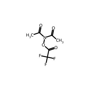 CC(=O)N(OC(=O)C(F)(F)F)C(C)=O